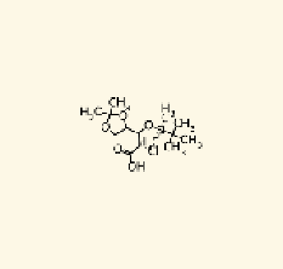 CC1(C)OCC([C@@H](O[Si](C)(C)C(C)(C)C)[C@H](Cl)C(=O)O)O1